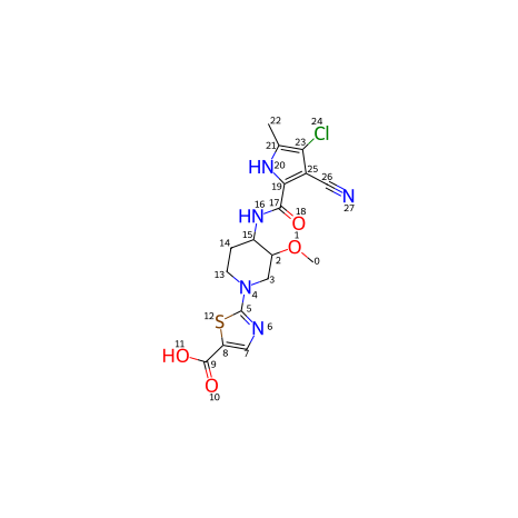 COC1CN(c2ncc(C(=O)O)s2)CCC1NC(=O)c1[nH]c(C)c(Cl)c1C#N